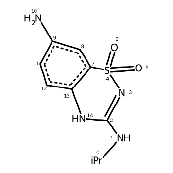 CC(C)NC1=NS(=O)(=O)c2cc(N)ccc2N1